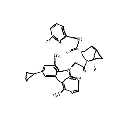 Cc1cc(C2CC2)cc2c3c(N)ncnc3n(CC(=O)N3[C@@H]4CC4C[C@H]3C(=O)Nc3cccc(Br)n3)c12